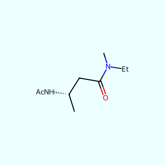 CCN(C)C(=O)C[C@H](C)NC(C)=O